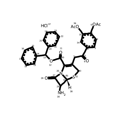 CC(=O)Oc1ccc(C(=O)CC2=C(C(=O)OC(c3ccccc3)c3ccccc3)N3C(=O)C(N)[C@H]3SC2)cc1OC(C)=O.Cl